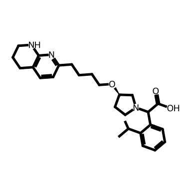 CC(C)c1ccccc1C(C(=O)O)N1CC[C@@H](OCCCCc2ccc3c(n2)NCCC3)C1